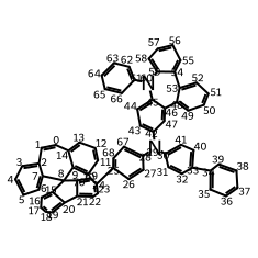 C1=Cc2ccccc2C2(c3ccccc31)c1ccccc1-c1ccc(-c3ccc(N(c4ccc(-c5ccccc5)cc4)c4ccc5c(c4)-c4ccccc4-c4ccccc4N5c4ccccc4)cc3)cc12